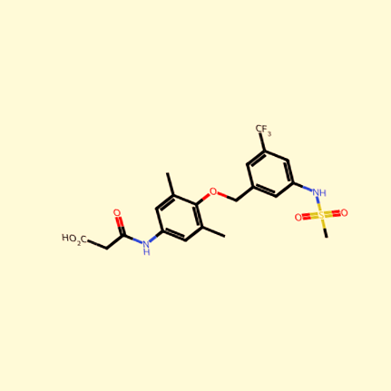 Cc1cc(NC(=O)CC(=O)O)cc(C)c1OCc1cc(NS(C)(=O)=O)cc(C(F)(F)F)c1